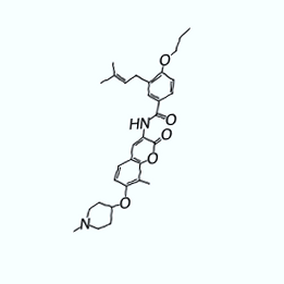 CCCOc1ccc(C(=O)Nc2cc3ccc(OC4CCN(C)CC4)c(C)c3oc2=O)cc1CC=C(C)C